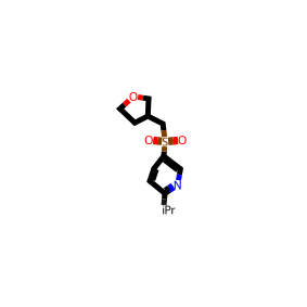 CC(C)c1ccc(S(=O)(=O)CC2CCOC2)cn1